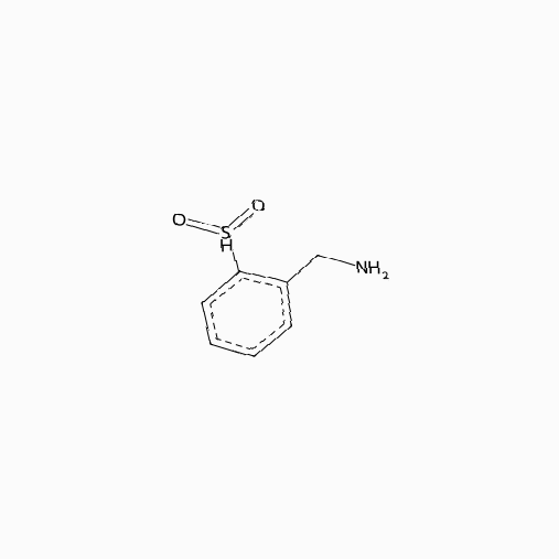 NCc1ccccc1[SH](=O)=O